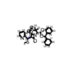 CS/C(=C1\C(=O)N2[C@@H](C(=O)OC(c3ccccc3)c3ccccc3)C(C)(C)S(=O)(=O)[C@H]12)c1ccccn1